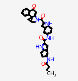 CCCC(=O)Nc1ccc2[nH]c(C(=O)Nc3ccc4[nH]c(C(=O)N5CC6CC67C5=CC(=O)c5ccccc57)cc4c3)cc2c1